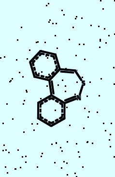 [C]1=c2ccccc2=c2ccccc2=NS1